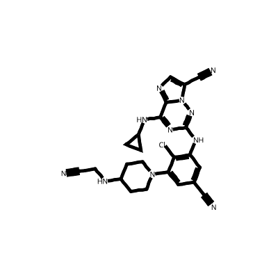 N#CCNC1CCN(c2cc(C#N)cc(Nc3nc(NC4CC4)c4ncc(C#N)n4n3)c2Cl)CC1